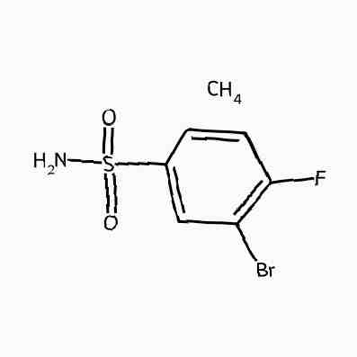 C.NS(=O)(=O)c1ccc(F)c(Br)c1